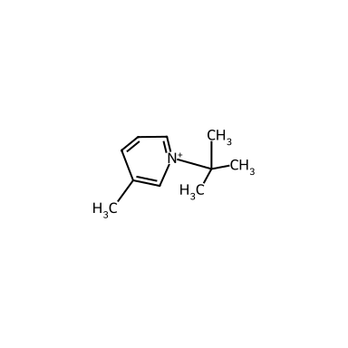 Cc1ccc[n+](C(C)(C)C)c1